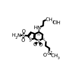 CCCN[C@H]1C[C@H](CCC[S+](C)[O-])S(=O)(=O)c2sc(S(N)(=O)=O)cc21.Cl